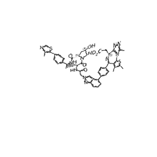 Cc1ncsc1-c1ccc(C(C)NC(=O)[C@@H]2C[C@@H](O)CN2C(=O)C(NC(=O)Cn2cc3c(-c4ccc(C5=N[C@@H](CC(=O)O)c6nnc(C)n6-c6sc(C)c(C)c65)cc4)cccc3n2)C(C)(C)C)cc1